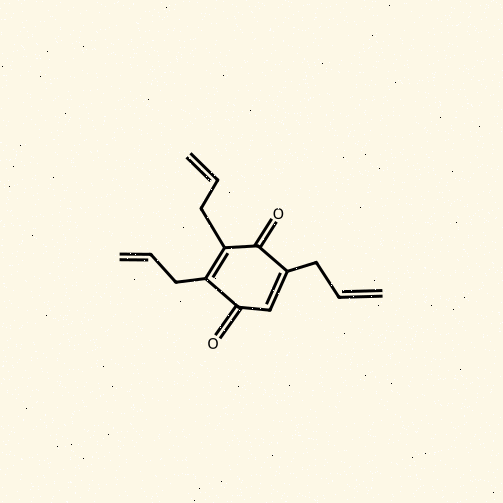 C=CCC1=CC(=O)C(CC=C)=C(CC=C)C1=O